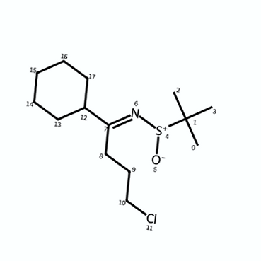 CC(C)(C)[S+]([O-])N=C(CCCCl)C1CCCCC1